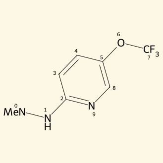 CNNc1ccc(OC(F)(F)F)cn1